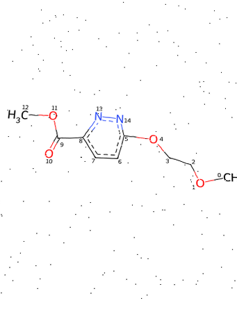 COCCOc1ccc(C(=O)OC)nn1